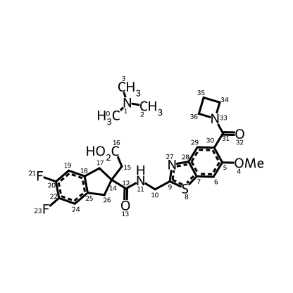 CN(C)C.COc1cc2sc(CNC(=O)C3(CC(=O)O)Cc4cc(F)c(F)cc4C3)nc2cc1C(=O)N1CCC1